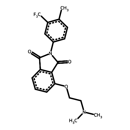 Cc1ccc(N2C(=O)c3cccc(OCCN(C)C)c3C2=O)cc1C(F)(F)F